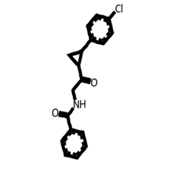 O=C(NCC(=O)C1CC1c1ccc(Cl)cc1)c1ccccc1